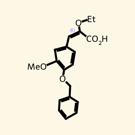 CCO/C(=C/c1ccc(OCc2ccccc2)c(OC)c1)C(=O)O